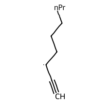 C#C[CH]CCCCCC